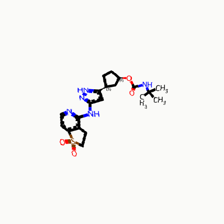 CC(C)(C)NC(=O)O[C@@H]1CC[C@H](c2cc(Nc3nccc4c3CCS4(=O)=O)n[nH]2)C1